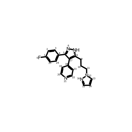 Fc1ccc(-c2n[nH]c(CCCn3cccn3)c2-c2ccncc2)cc1